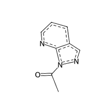 CC(=O)n1ncc2cccnc21